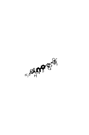 CC(=O)NC[C@H]1CN(c2ccc(-c3ccc(NC(=O)CN(C)C)nc3)c(F)c2)C(=O)O1